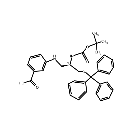 CC(C)(C)OC(=O)N[C@H](CNc1cccc(C(=O)O)c1)CSC(c1ccccc1)(c1ccccc1)c1ccccc1